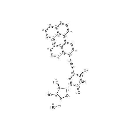 O=c1[nH]c(=O)n([C@@H]2O[C@H](CO)C(O)[C@H]2O)cc1C#Cc1ccc2c3cccc4cccc(c5cccc1c52)c43